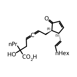 CCCCCCC=C[C@H]1C=CC(=O)[C@@H]1CC=C=CCC(O)(CCC)C(=O)O